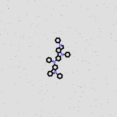 c1ccc(N(c2ccc3c(c2)c2ccccc2n3-c2ccccc2)c2ccc3c(c2)c2ccc4c(ccn4-c4ccccc4)c2n3-c2ccccc2)cc1